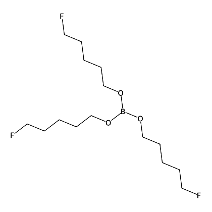 FCCCCCOB(OCCCCCF)OCCCCCF